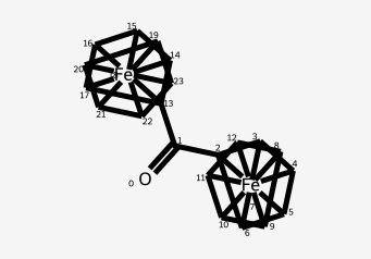 O=C([C]12[CH]3[CH]4[CH]5[CH]1[Fe]45321678[CH]2[CH]1[CH]6[CH]7[CH]28)[C]12[CH]3[CH]4[CH]5[CH]1[Fe]45321678[CH]2[CH]1[CH]6[CH]7[CH]28